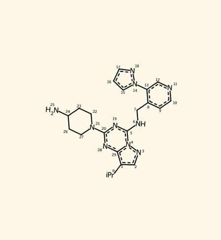 CC(C)c1cnn2c(NCc3ccncc3-n3cccn3)nc(N3CCC(N)CC3)nc12